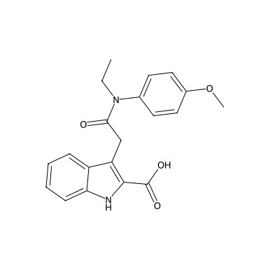 CCN(C(=O)Cc1c(C(=O)O)[nH]c2ccccc12)c1ccc(OC)cc1